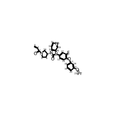 C=CC(=O)N1CC[C@@H](n2c(=O)n(-c3ccc(Oc4cccc(OC(C)C)c4)c(F)c3)c3cnccc32)C1